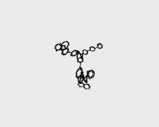 c1ccc(-c2ccc(-c3ccc(N(c4ccc(-c5ccc6c(c5)oc5ccccc56)cc4)c4ccc(-c5ccc6c7ccc8ccccc8c7n(-c7ccccc7)c6c5)cc4)cc3)cc2)cc1